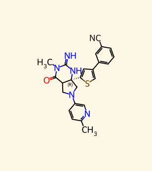 Cc1ccc(N2CC3C(=O)N(C)C(=N)N[C@@]3(c3cc(-c4cccc(C#N)c4)cs3)C2)cn1